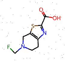 O=C(O)c1nc2c(s1)CN(CF)CC2